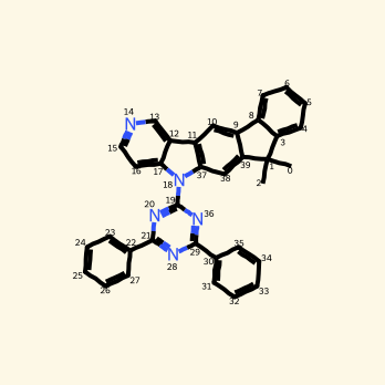 CC1(C)c2ccccc2-c2cc3c4cnccc4n(-c4nc(-c5ccccc5)nc(-c5ccccc5)n4)c3cc21